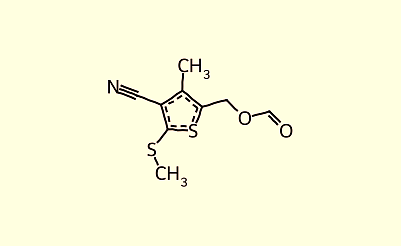 CSc1sc(COC=O)c(C)c1C#N